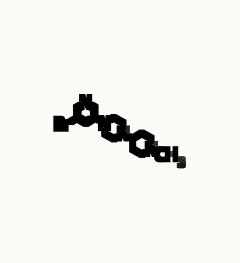 CN1CCC(N2CCN(c3cncc(Br)c3)CC2)CC1